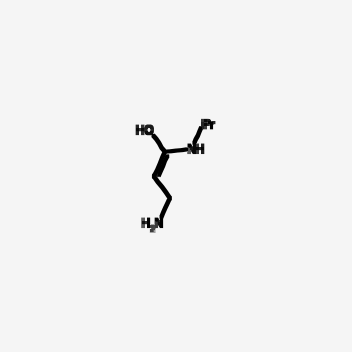 CC(C)N/C(O)=C\CN